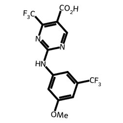 COc1cc(Nc2ncc(C(=O)O)c(C(F)(F)F)n2)cc(C(F)(F)F)c1